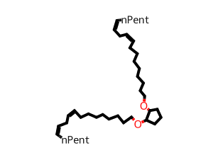 CCCCC/C=C\C/C=C\CCCCCCCCOC1CCCC1OCCCCCCCC/C=C\C/C=C\CCCCC